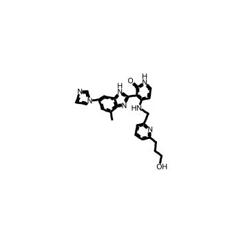 Cc1cc(-n2ccnc2)cc2[nH]c(-c3c(NCc4cccc(CCCO)n4)cc[nH]c3=O)nc12